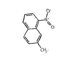 [CH2]c1ccc2cccc([N+](=O)[O-])c2c1